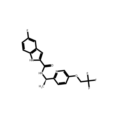 C[C@@H](NC(=O)c1cc2cc(F)ccc2[nH]1)c1ccc(OCC(F)(F)F)cn1